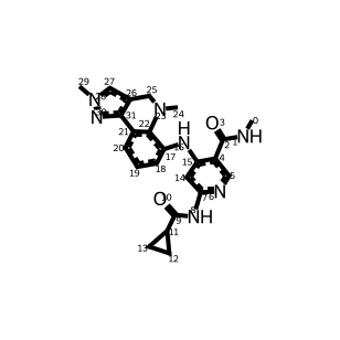 CNC(=O)c1cnc(NC(=O)C2CC2)cc1Nc1cccc2c1N(C)Cc1cn(C)nc1-2